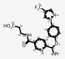 CCCC(Oc1ccc(-n2cc(C(F)(F)F)cn2)cc1)c1ccc(C(=O)NCCC(=O)O)cn1